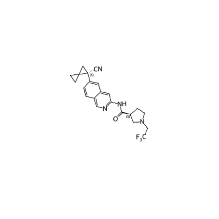 N#C[C@@]1(c2ccc3cnc(NC(=O)[C@H]4CCN(CC(F)(F)F)C4)cc3c2)CC12CC2